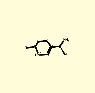 CC1CCC([C@H](C)N)=CN1